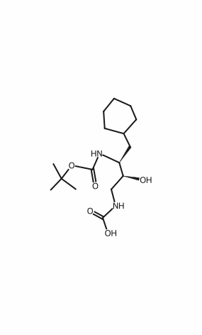 CC(C)(C)OC(=O)N[C@@H](CC1CCCCC1)[C@@H](O)CNC(=O)O